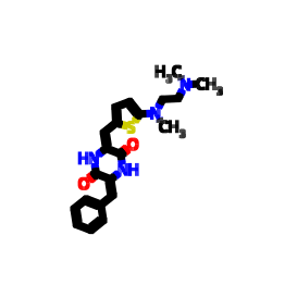 CN(C)CCN(C)c1ccc(C=c2[nH]c(=O)c(=Cc3ccccc3)[nH]c2=O)s1